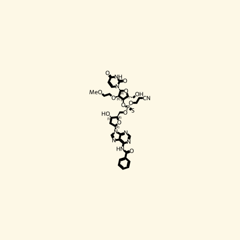 COCCO[C@@H]1[C@H](OP(=S)(OCCC#N)OC[C@H]2O[C@@H](n3cnc4c(NC(=O)c5ccccc5)ncnc43)C[C@@H]2O)[C@@H](CO)O[C@H]1n1ccc(=O)[nH]c1=O